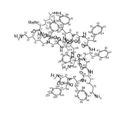 CNC(CCCCN)C(=O)NC(CCCCN)CN(CC(=O)NC(Cc1ccccc1)C(=O)NC(Cc1ccccc1)CN(CC(=O)NC(Cc1ccccc1)C(=O)NC(Cc1ccccc1)CN(CC(=O)NC(CCCCN)C(=O)NC(Cc1ccccc1)CN(CC(N)=O)S(=O)(=O)Cc1ccc(C)cc1)S(=O)(=O)CCN)S(=O)(=O)CCN)S(=O)(=O)c1ccc(C)cc1